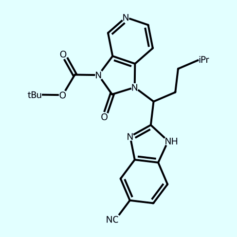 CC(C)CCC(c1nc2cc(C#N)ccc2[nH]1)n1c(=O)n(C(=O)OC(C)(C)C)c2cnccc21